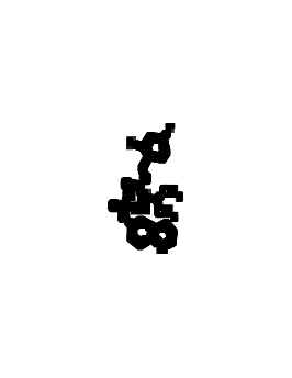 CC(C)[C@H](NP(=O)(Cl)Oc1ccc2ncccc2c1)C(=O)OCc1ccc(F)cc1F